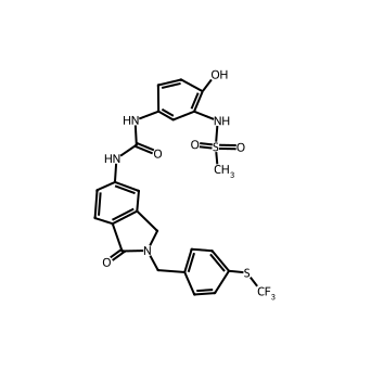 CS(=O)(=O)Nc1cc(NC(=O)Nc2ccc3c(c2)CN(Cc2ccc(SC(F)(F)F)cc2)C3=O)ccc1O